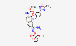 CC(C)(C)OC(=O)N[C@H]1CSc2cc(F)c(/C(N)=N/OC(=O)C3(CO)CCCO3)cc2N(Cc2ccc(-c3noc(C(F)(F)F)n3)cc2)C1=O